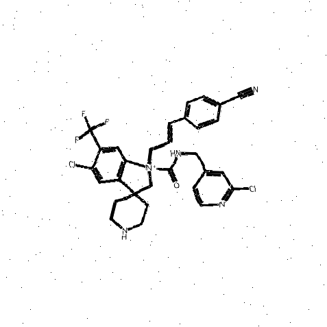 N#Cc1ccc(/C=C/C[N+]2(C(=O)NCc3ccnc(Cl)c3)CC3(CCNCC3)c3cc(Cl)c(C(F)(F)F)cc32)cc1